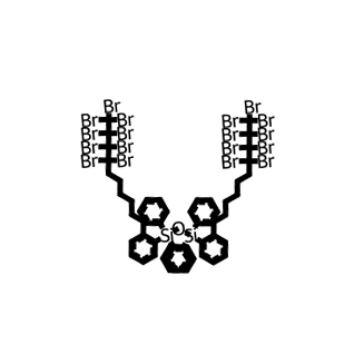 BrC(Br)(Br)C(Br)(Br)C(Br)(Br)C(Br)(Br)CCCCCCc1ccccc1[Si](O[Si](c1ccccc1)(c1ccccc1)c1ccccc1CCCCCCC(Br)(Br)C(Br)(Br)C(Br)(Br)C(Br)(Br)Br)(c1ccccc1)c1ccccc1